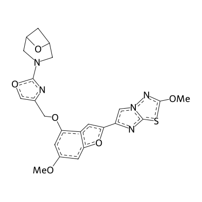 COc1cc(OCc2coc(N3CC4CC(C3)O4)n2)c2cc(-c3cn4nc(OC)sc4n3)oc2c1